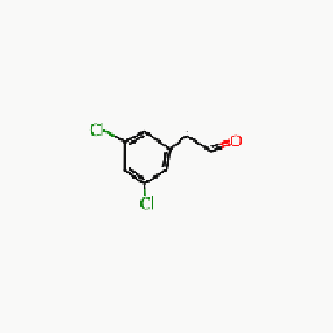 O=C[CH]c1cc(Cl)cc(Cl)c1